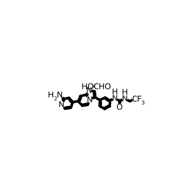 Nc1cc(-c2ccn3c(-c4cccc(NC(=O)NCC(F)(F)F)c4)cnc3c2)ccn1.O=CO